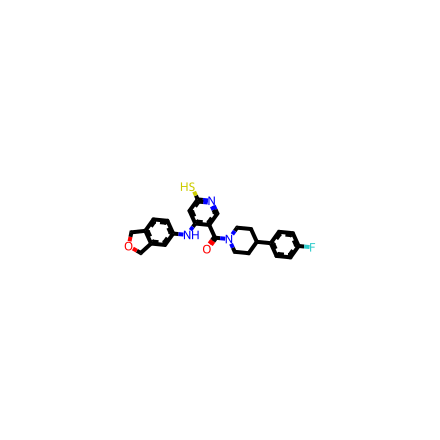 O=C(c1cnc(S)cc1Nc1ccc2c(c1)COC2)N1CCC(c2ccc(F)cc2)CC1